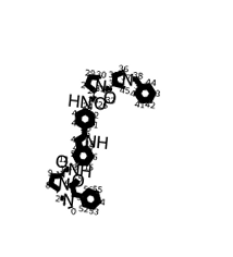 CN(C)[C@@H](C(=O)N1CCC[C@H]1C(=O)Nc1ccc2[nH]c(-c3ccc(NC(=O)[C@@H]4CCCN4C(=O)[C@@H]4CCN(Cc5ccccc5)C4)cc3)cc2c1)c1ccccc1